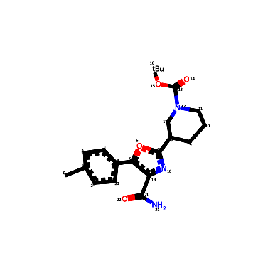 Cc1ccc(-c2oc(C3CCCN(C(=O)OC(C)(C)C)C3)nc2C(N)=O)cc1